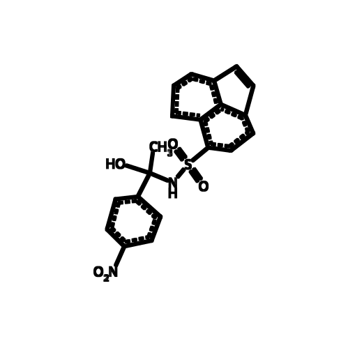 CC(O)(NS(=O)(=O)c1ccc2c3c(cccc13)C=C2)c1ccc([N+](=O)[O-])cc1